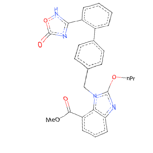 CCCOc1nc2cccc(C(=O)OC)c2n1Cc1ccc(-c2ccccc2-c2nc(=O)o[nH]2)cc1